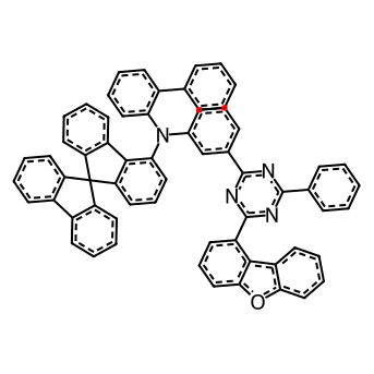 c1ccc(-c2nc(-c3cccc(N(c4ccccc4-c4ccccc4)c4cccc5c4-c4ccccc4C54c5ccccc5-c5ccccc54)c3)nc(-c3cccc4oc5ccccc5c34)n2)cc1